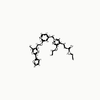 CCOC(=O)CCc1cn(Cc2ccnc(OCc3nc(-c4ccco4)oc3C)c2)nc1OCC